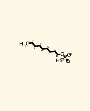 CCCCCCCCCOS(=O)(=O)S